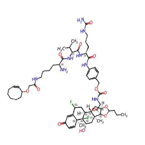 CCCC1O[C@@H]2C[C@H]3[C@@H]4C[C@H](F)C5=CC(=O)C=C[C@]5(C)[C@@]4(F)[C@@H](O)C[C@]3(C)[C@]2(C(=O)CNC(=O)OCc2ccc(NC(=O)[C@H](CCCNC(N)=O)NC(=O)[C@@H](NC(=O)[C@@H](N)CCCCNC(=O)COC3C#CCCCCC3)C(C)C)cc2)O1